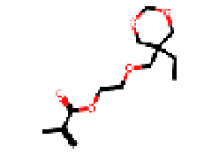 C=C(C)C(=O)OCCOCC1(CC)COCOC1